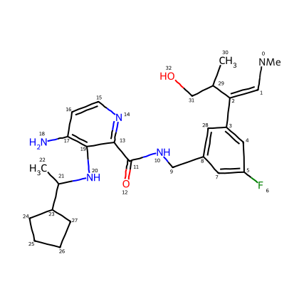 CN/C=C(/c1cc(F)cc(CNC(=O)c2nccc(N)c2NC(C)C2CCCC2)c1)C(C)CO